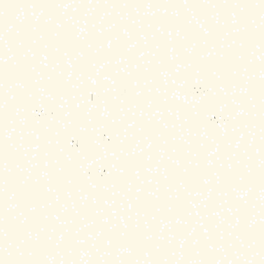 COc1nc(OC)c(C(C)C)c(C(=O)c2cc(C)cc(C(OC)OC)c2)n1